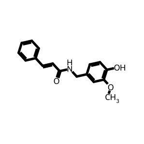 COc1cc(CNC(=O)/C=C/c2ccccc2)ccc1O